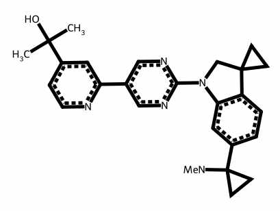 CNC1(c2ccc3c(c2)N(c2ncc(-c4cc(C(C)(C)O)ccn4)cn2)CC32CC2)CC1